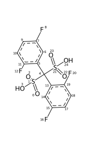 O=S(=O)(O)C(c1cc(F)ccc1F)(c1cc(F)ccc1F)S(=O)(=O)O